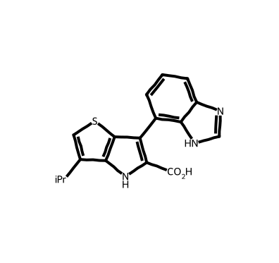 CC(C)c1csc2c(-c3cccc4nc[nH]c34)c(C(=O)O)[nH]c12